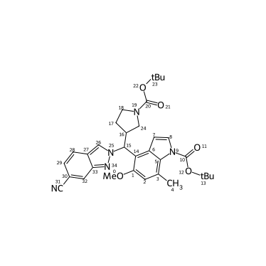 COc1cc(C)c2c(ccn2C(=O)OC(C)(C)C)c1C(C1CCN(C(=O)OC(C)(C)C)C1)n1cc2ccc(C#N)cc2n1